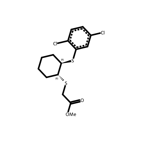 COC(=O)CS[C@@H]1CCCC[C@H]1Sc1cc(Cl)ccc1Cl